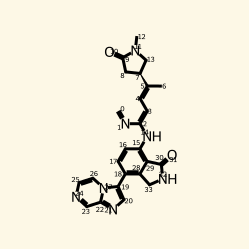 C=N/C(=C\C=C(/C)[C@H]1CC(=O)N(C)C1)Nc1ccc(-c2cnc3cnccn23)c2c1C(=O)NC2